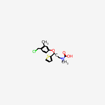 Cc1cc(O[C@@H](CCN(C)C(=O)O)c2cccs2)ccc1CCl